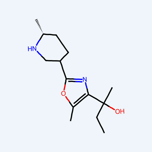 CCC(C)(O)c1nc(C2CC[C@@H](C)NC2)oc1C